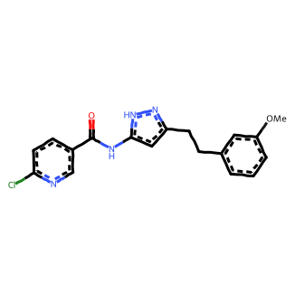 COc1cccc(CCc2cc(NC(=O)c3ccc(Cl)nc3)[nH]n2)c1